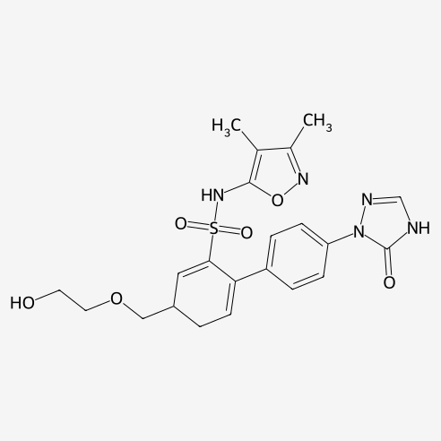 Cc1noc(NS(=O)(=O)C2=CC(COCCO)CC=C2c2ccc(-n3nc[nH]c3=O)cc2)c1C